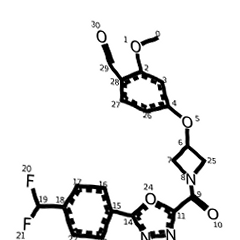 COc1cc(OC2CN(C(=O)c3nnc(-c4ccc(C(F)F)cc4)o3)C2)ccc1C=O